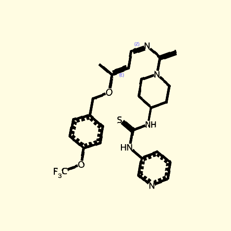 C=C(/N=C\C=C(/C)OCc1ccc(OC(F)(F)F)cc1)N1CCC(NC(=S)Nc2cccnc2)CC1